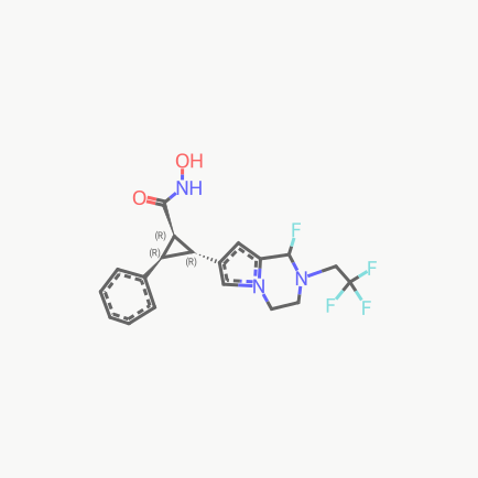 O=C(NO)[C@@H]1[C@H](c2ccccc2)[C@H]1c1cc2n(c1)CCN(CC(F)(F)F)C2F